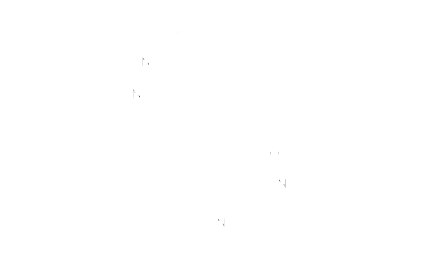 C1=CCCC(C2=NC(c3ccc(-c4cccc(-c5nc6ccccc6c6c5ccc5oc(C7C=CCCC7)nc56)c4)cc3)CC(c3ccccc3)=N2)=C1